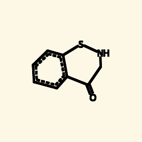 O=C1CNSc2ccccc21